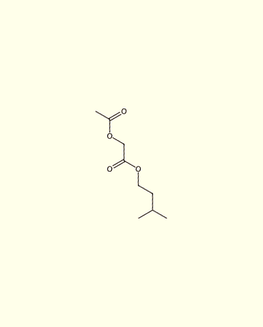 CC(=O)OCC(=O)OCCC(C)C